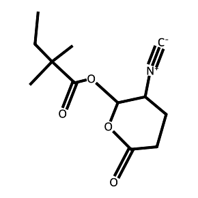 [C-]#[N+]C1CCC(=O)OC1OC(=O)C(C)(C)CC